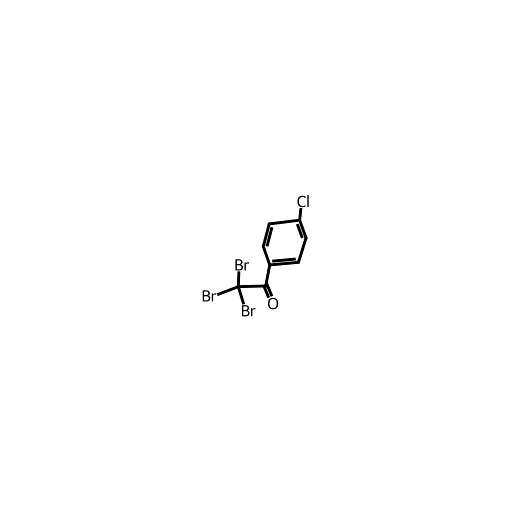 O=C(c1ccc(Cl)cc1)C(Br)(Br)Br